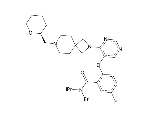 CCN(C(=O)c1cc(F)ccc1Oc1cncnc1N1CC2(CCN(C[C@@H]3CCCCO3)CC2)C1)C(C)C